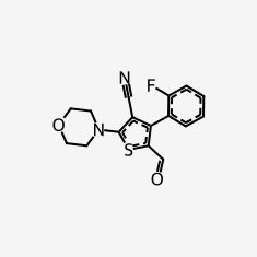 N#Cc1c(N2CCOCC2)sc(C=O)c1-c1ccccc1F